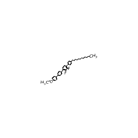 CCCCCCCCCCCCc1ccc(-c2ccc(-c3ccc(-c4ccc(OCC)cc4)cc3)c(F)c2F)cc1